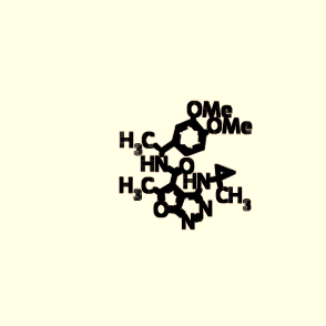 COc1ccc([C@H](C)NC(=O)c2c(C)oc3ncnc(NC4(C)CC4)c23)cc1OC